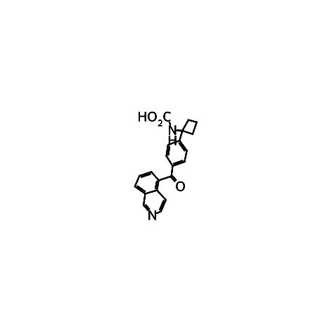 O=C(O)NC1(c2ccc(C(=O)c3cccc4cnccc34)cc2)CCC1